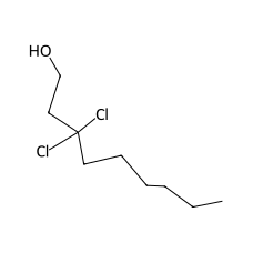 CCCCCCC(Cl)(Cl)CCO